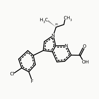 CC[C@@H](C)n1cc(-c2ccc(Cl)c(F)c2)c2ccc(C(=O)O)nc21